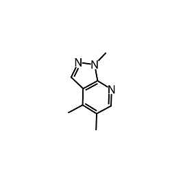 Cc1cnc2c(cnn2C)c1C